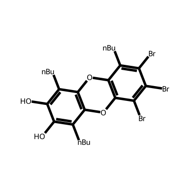 CCCCc1c(Br)c(Br)c(Br)c2c1Oc1c(CCCC)c(O)c(O)c(CCCC)c1O2